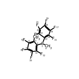 CB(c1c(C)c(F)c(F)c(F)c1F)c1c(F)c(F)c(F)c(F)c1F